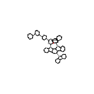 c1ccc(-c2cccc(-c3ccc(-c4nc(-c5ccccc5)nc(-n5c6ccccc6c6cc(-n7c8ccccc8c8ccccc87)c7c8ccccc8n(-c8ccccc8)c7c65)n4)cc3)c2)cc1